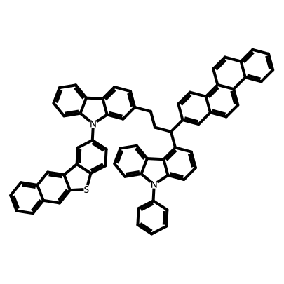 c1ccc(-n2c3ccccc3c3c(C(CCc4ccc5c6ccccc6n(-c6ccc7sc8cc9ccccc9cc8c7c6)c5c4)c4ccc5c(ccc6c7ccccc7ccc56)c4)cccc32)cc1